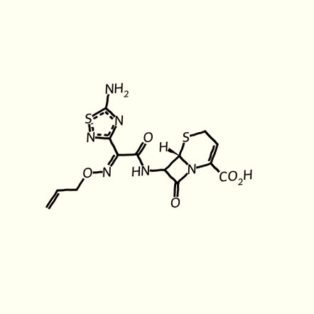 C=CCON=C(C(=O)NC1C(=O)N2C(C(=O)O)=CCS[C@@H]12)c1nsc(N)n1